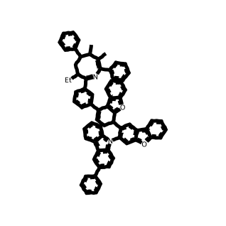 CCC1CC(c2ccccc2)C(C)/C(C)=C(c2ccccc2)\N=C/1c1cccc(C2=CCC(c3cc4c(cc3-n3c5ccccc5c5cc(-c6ccccc6)ccc53)oc3ccccc34)c3oc4ccccc4c32)c1